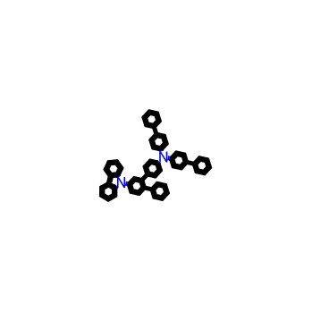 c1ccc(-c2ccc(N(c3ccc(-c4ccccc4)cc3)c3ccc(-c4cc(-n5c6ccccc6c6ccccc65)ccc4-c4ccccc4)cc3)cc2)cc1